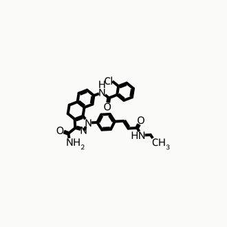 CCNC(=O)C=Cc1ccc(-n2nc(C(N)=O)c3c2-c2cc(NC(=O)c4ccccc4Cl)ccc2CC3)cc1